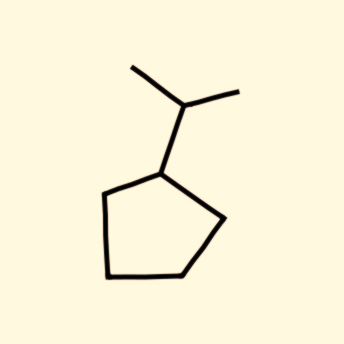 C[C](C)C1CCCC1